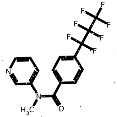 CN(C(=O)c1ccc(C(F)(F)C(F)(F)C(F)(F)F)cc1)c1cccnc1